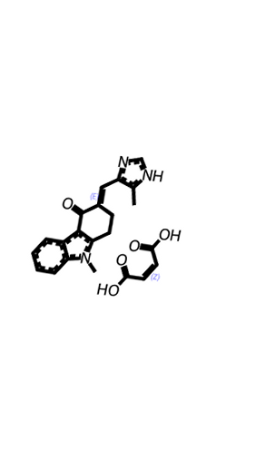 Cc1[nH]cnc1/C=C1\CCc2c(c3ccccc3n2C)C1=O.O=C(O)/C=C\C(=O)O